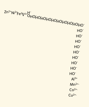 [Al+3].[Co+2].[Cu+2].[Fe+2].[Mn+2].[Ni+2].[OH-].[OH-].[OH-].[OH-].[OH-].[OH-].[OH-].[OH-].[OH-].[OH-].[OH-].[OH-].[OH-].[OH-].[OH-].[OH-].[OH-].[OH-].[OH-].[OH-].[V+5].[Zn+2]